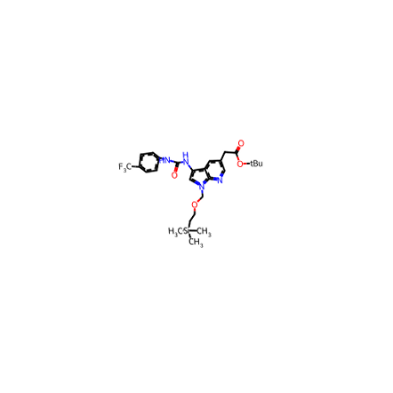 CC(C)(C)OC(=O)Cc1cnc2c(c1)c(NC(=O)Nc1ccc(C(F)(F)F)cc1)cn2COCC[Si](C)(C)C